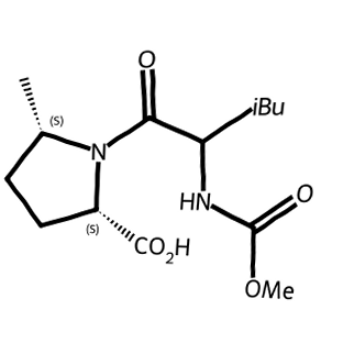 CCC(C)C(NC(=O)OC)C(=O)N1[C@@H](C)CC[C@H]1C(=O)O